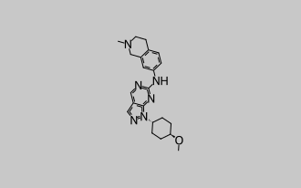 CO[C@H]1CC[C@H](n2ncc3cnc(Nc4ccc5c(c4)CN(C)CC5)nc32)CC1